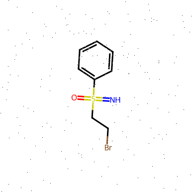 N=S(=O)(CCBr)c1ccccc1